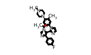 Cc1cc(-n2ccnc2-c2c(-c3ccc(F)cc3)ncn2C(C)C)ccc1N1CCN(C)CC1